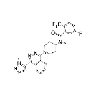 CN(C(=O)c1cc(F)ccc1C(F)(F)F)C1CCN(c2nnc(-c3ccnn3C)c3ccccc23)CC1